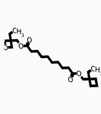 CCC1(COC(=O)CCCCCCCCC(=O)OCC2(CC)COC2)CCC1